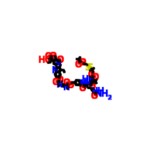 CCc1c2c(nc3ccc(OC(=O)N(C)CCN(C)C(=O)OCc4ccc(NC(=O)[C@H](CCCNC(N)=O)NC(=O)[C@@H](NC(=O)OCC(C)(C)SSCCOC(=O)C(C)C)C(C)C)cc4)cc13)-c1cc3c(c(=O)n1C2)COC(=O)[C@]3(O)CC